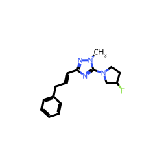 Cn1nc(C=CCc2ccccc2)nc1N1CCC(F)C1